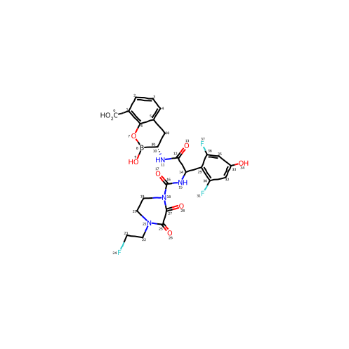 O=C(O)c1cccc2c1OB(O)[C@@H](NC(=O)C(NC(=O)N1CCN(CCF)C(=O)C1=O)c1c(F)cc(O)cc1F)C2